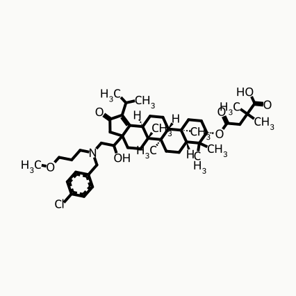 COCCCN(Cc1ccc(Cl)cc1)CC(O)C12CC[C@]3(C)[C@H](CC[C@@H]4[C@@]5(C)CC[C@H](OC(=O)CC(C)(C)C(=O)O)C(C)(C)[C@@H]5CC[C@]43C)C1=C(C(C)C)C(=O)C2